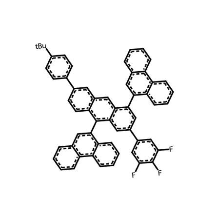 CC(C)(C)c1ccc(-c2ccc3c(-c4cc5ccccc5c5ccccc45)c4cc(-c5cc(F)c(F)c(F)c5)cc(-c5cc6ccccc6c6ccccc56)c4cc3c2)cc1